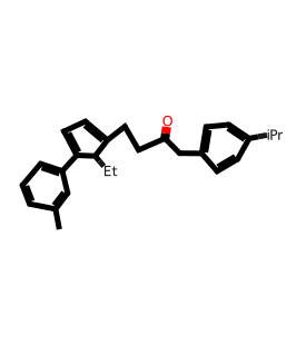 CCC1C(CCC(=O)Cc2ccc(C(C)C)cc2)=CC=C1c1cccc(C)c1